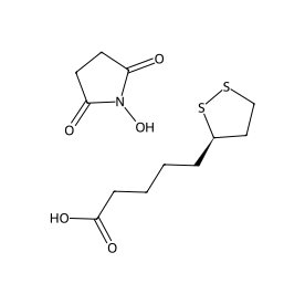 O=C(O)CCCC[C@@H]1CCSS1.O=C1CCC(=O)N1O